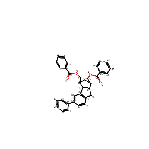 O=C(OC1C2CC(C1OC(=O)c1ccccc1)C1c3cc(-c4ccccc4)ccc3CC21)c1ccccc1